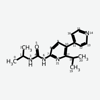 CC(C)NC(=O)Nc1ccc(-c2ccncc2)c(C(C)C)n1